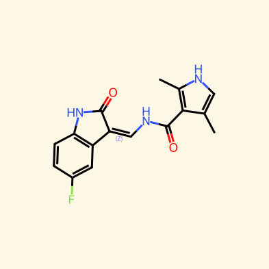 Cc1c[nH]c(C)c1C(=O)N/C=C1\C(=O)Nc2ccc(F)cc21